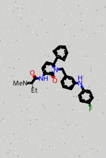 CC[C@H](NC)C(=O)Nc1ccc(-c2ccccc2)n(Cc2cccc(Nc3ccc(F)cc3)c2)c1=O